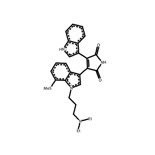 CCN(CC)CCCn1cc(C2=C(c3c[nH]c4ccccc34)C(=O)NC2=O)c2cccc(SC)c21